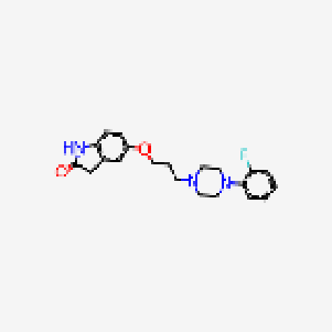 O=C1Cc2cc(OCCCN3CCN(c4ccccc4F)CC3)ccc2N1